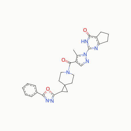 Cc1c(C(=O)N2CCC3(CC2)CC3c2nnc(-c3ccccc3)o2)cnn1-c1nc2c(c(=O)[nH]1)CCC2